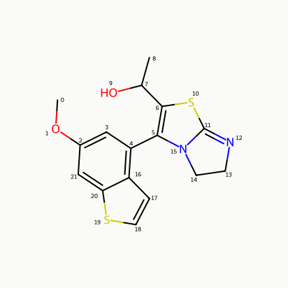 COc1cc(C2=C(C(C)O)SC3=NCCN32)c2ccsc2c1